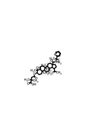 C=C(C)C1CCC2(C(=O)NC(C)(C)c3ccccn3)CC[C@]3(C)C(CCC4C5(C)CCC(OC(=O)CC(C)(C)C(=O)O)C(C)(C)C5CCC43C)C12